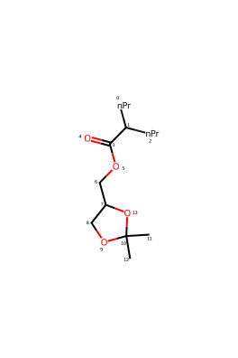 CCCC(CCC)C(=O)OCC1COC(C)(C)O1